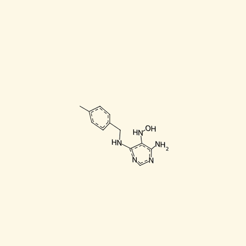 Cc1ccc(CNc2ncnc(N)c2NO)cc1